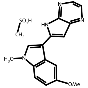 COc1ccc2c(c1)c(-c1cc3nccnc3[nH]1)cn2C.CS(=O)(=O)O